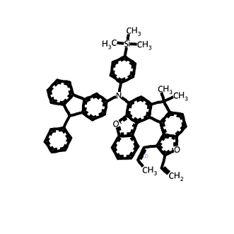 C=Cc1oc2ccc3c(c2c1/C=C\C)-c1c(cc(N(c2ccc([Si](C)(C)C)cc2)c2ccc4c(c2)-c2ccccc2C4c2ccccc2)c2oc4ccccc4c12)C3(C)C